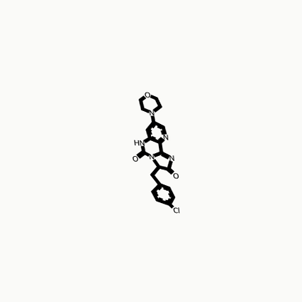 O=C1N=C2c3ncc(N4CCOCC4)cc3NC(=O)N2C1Cc1ccc(Cl)cc1